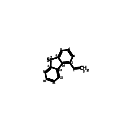 C=Cc1cccc2[se]c3ccccc3c12